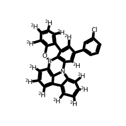 [2H]c1c([2H])c([2H])c2c(c1[2H])OB1c3c-2c([2H])c(-c2cccc(Cl)c2)c([2H])c3-n2c3c([2H])c([2H])c([2H])c([2H])c3c3c([2H])c([2H])c([2H])c1c32